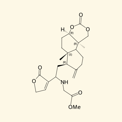 C=C1CCC2[C@]3(C)COC(=O)O[C@@H]3CC[C@@]2(C)[C@@H]1CC(NCC(=O)OC)C1=CCOC1=O